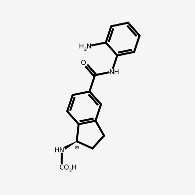 Nc1ccccc1NC(=O)c1ccc2c(c1)CC[C@H]2NC(=O)O